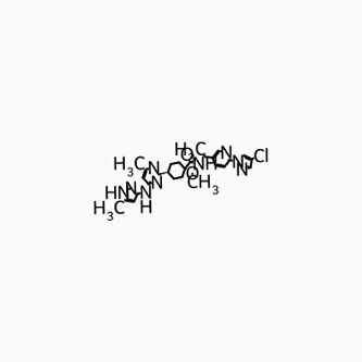 CO[C@]1(C(=O)N[C@@H](C)c2ccc(-n3cc(Cl)cn3)nc2)CC[C@H](c2nc(C)cc(Nc3cc(C)[nH]n3)n2)CC1